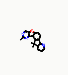 Cc1ncc2oc3ccc4c(c3c2n1)C(C)(C)c1cccnc1-4